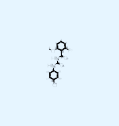 COc1cccc(F)c1C(=O)NC(=O)Nc1ccc(Cl)cc1